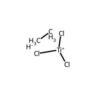 CC.[Cl][Ti+]([Cl])[Cl].[H-]